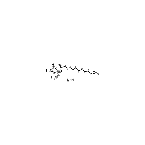 CCCCCCCCCCCC(=O)O[Si](CC)(CC)CC.[NaH]